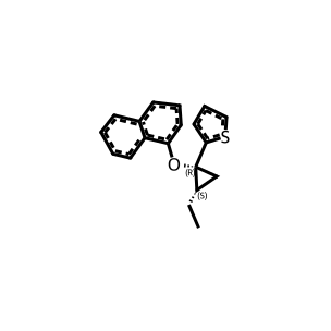 CC[C@H]1C[C@]1(Oc1cccc2ccccc12)c1cccs1